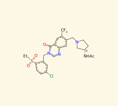 CCS(=O)(=O)c1ccc(Cl)cc1Cn1cnc2cc(CN3CC[C@H](NC(C)=O)C3)c(C(F)(F)F)cc2c1=O